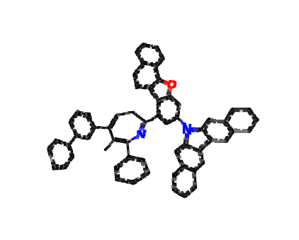 CC1=C(c2ccccc2)N=C(c2cc(-n3c4cc5ccccc5cc4c4cc5ccccc5cc43)cc3oc4c5ccccc5ccc4c23)CC=C1c1cccc(-c2ccccc2)c1